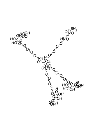 BC1CC(=O)N(CCC(=O)NCCOCCOCCOCCOCCC(=O)NC(CCC(=O)NCCOCCOCCOCCOCCOC2OC(COP(=O)(O)O)C(O)C(O)C2O)(CCC(=O)NCCOCCOCCOCCOCCOC2OC(COP(=O)(O)O)C(O)C(O)C2O)CCC(=O)NCCOCCOCCOCCOCCOC2OC(COP(=O)(O)O)C(O)C(O)C2O)C1=O